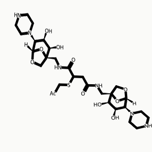 CC(=O)CSC(CC(=O)NC[C@@]12CO[C@@H](O1)[C@@H](N1CCNCC1)[C@@H](O)[C@H]2O)C(=O)NC[C@@]12CO[C@@H](O1)[C@@H](N1CCNCC1)[C@@H](O)[C@H]2O